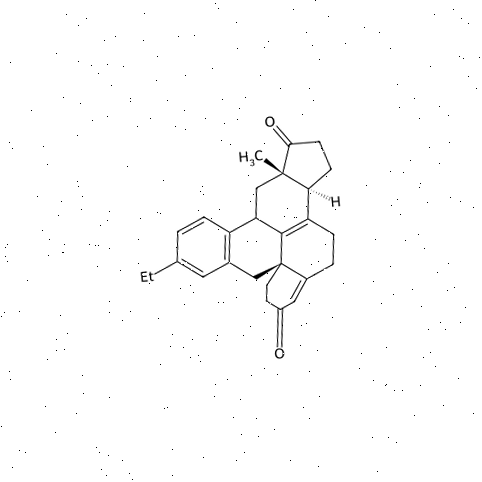 CCc1ccc2c(c1)C[C@]13CCC(=O)C=C1CCC1=C3C2C[C@]2(C)C(=O)CC[C@@H]12